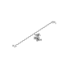 CCCCCCCCCCCCCCCCCCC(CCCCCCCCCCCCCCCCCC)CNC(C)O.O=S(=O)(O)O